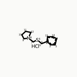 Cl.c1ccc(CSCN2CCCC2)cc1